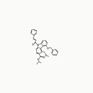 COCc1c(C(=O)OC(C)C)ncc2c1c1c(OCc3ccccc3)cccc1n2C(=O)C=Cc1ccccc1